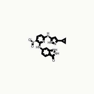 O=c1[nH][nH]c2cc(Nc3nc(Nc4cc(C5CC5)n[nH]4)ccc3[N+](=O)[O-])ccc12